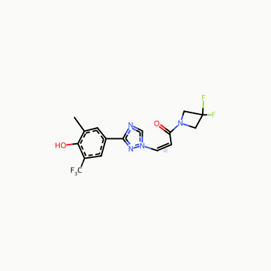 Cc1cc(-c2ncn(/C=C\C(=O)N3CC(F)(F)C3)n2)cc(C(F)(F)F)c1O